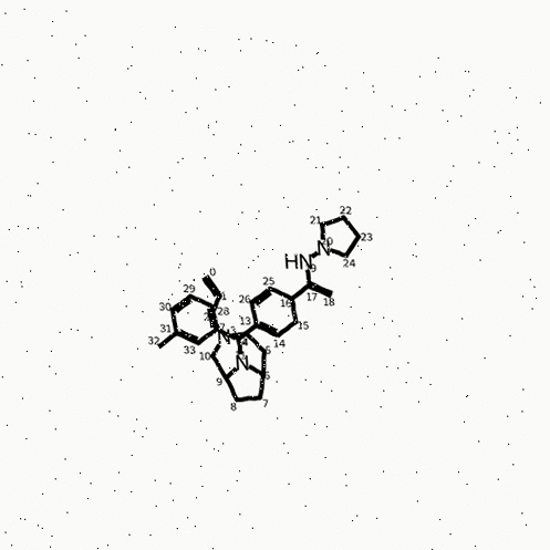 C=CCN1CCC2CCC(C1)N2C(C1=CCC(C(=C)NN2CCCC2)C=C1)c1cccc(C)c1